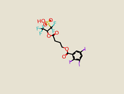 O=C(CCCOC(=O)c1cc(I)cc(I)c1I)OC(C(F)(F)F)C(F)(F)S(=O)(=O)O